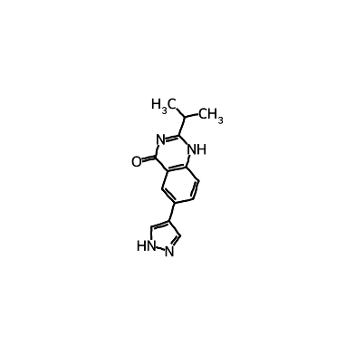 CC(C)c1nc(=O)c2cc(-c3cn[nH]c3)ccc2[nH]1